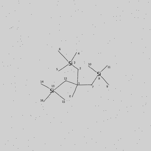 CC(C[Si](C)(C)C)(C[Si](C)(C)C)C[Si](C)(C)C